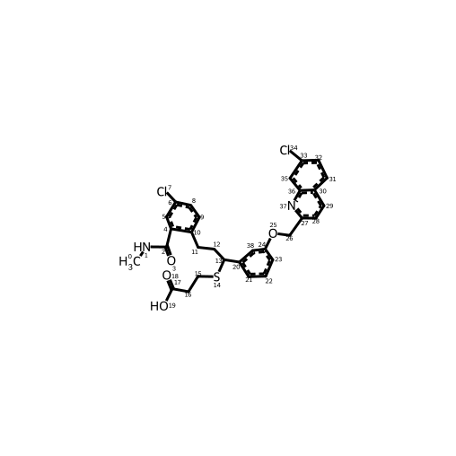 CNC(=O)c1cc(Cl)ccc1CCC(SCCC(=O)O)c1cccc(OCc2ccc3ccc(Cl)cc3n2)c1